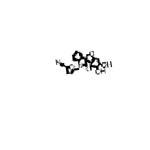 N#Cc1ccc(CN2C(=O)C3(COc4cc(O)c(O)cc43)c3ccccc32)o1